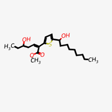 CCCCCCCCC(O)c1ccc(C(=CCC(O)CC)C(=O)OC)s1